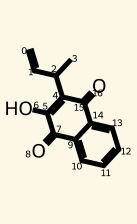 C=CC(C)C1=C(O)C(=O)c2ccccc2C1=O